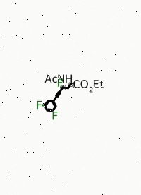 CCOC(=O)[C@H](C[C@@H](F)C#Cc1cc(F)cc(F)c1)NC(C)=O